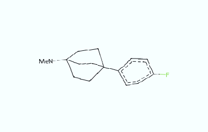 CNC12CCC(c3ccc(F)cc3)(CC1)CC2